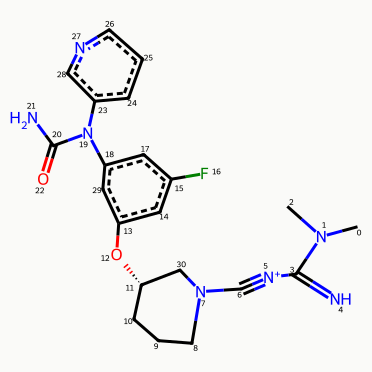 CN(C)C(=N)[N+]#CN1CCC[C@H](Oc2cc(F)cc(N(C(N)=O)c3cccnc3)c2)C1